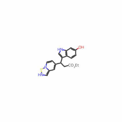 CCOC(=O)CC(C1=CC2=CNSN2C=C1)c1c[nH]c2cc(O)ccc12